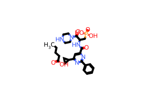 CCCCC(=O)O.O=C(NC(CP(=O)(O)O)C(=O)N1CCNCC1)c1cc(C2CC2)nc(-c2ccccc2)n1